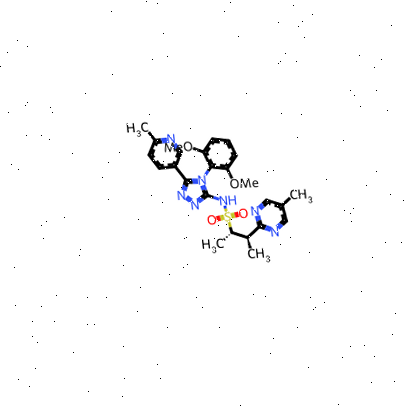 COc1cccc(OC)c1-n1c(NS(=O)(=O)[C@@H](C)[C@H](C)c2ncc(C)cn2)nnc1-c1ccc(C)nc1